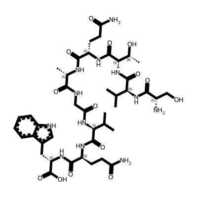 CC(C)[C@H](NC(=O)CNC(=O)[C@H](C)NC(=O)[C@H](CCC(N)=O)NC(=O)[C@@H](NC(=O)[C@@H](NC(=O)[C@@H](N)CO)C(C)C)[C@@H](C)O)C(=O)N[C@@H](CCC(N)=O)C(=O)N[C@@H](Cc1c[nH]c2ccccc12)C(=O)O